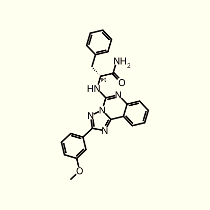 COc1cccc(-c2nc3c4ccccc4nc(N[C@H](Cc4ccccc4)C(N)=O)n3n2)c1